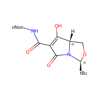 CCCCCCCCCNC(=O)C1=C(O)[C@@H]2CO[C@@H](C(C)(C)C)N2C1=O